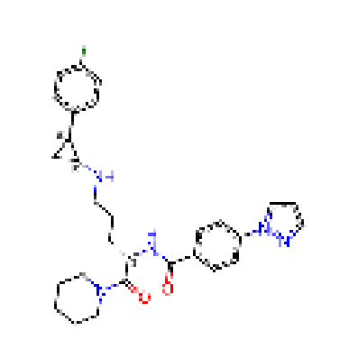 O=C(N[C@@H](CCCN[C@@H]1C[C@H]1c1ccc(F)cc1)C(=O)N1CCCCC1)c1ccc(-n2cccn2)cc1